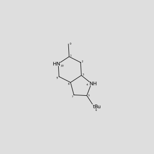 CC1CC2NC(C(C)(C)C)CC2CN1